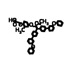 CCOC(COc1ccc(OCC(=O)O)c(C)c1)=C(c1ccc(-c2cccc(Oc3ccccc3)c2)cc1)c1ccc(-c2cccc(Oc3ccccc3)c2)cc1